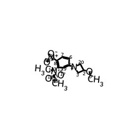 COC1CN(c2ccc([N+](=O)[O-])c(N(C)S(C)(=O)=O)c2)C1